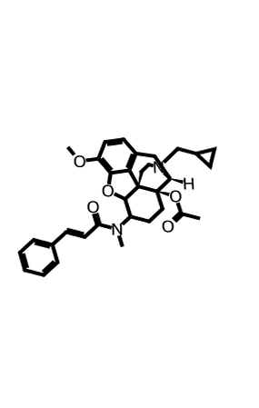 COc1ccc2c3c1OC1C(N(C)C(=O)/C=C/c4ccccc4)CC[C@@]4(OC(C)=O)[C@@H](C2)N(CC2CC2)CC[C@]314